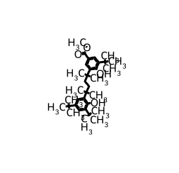 COC(=O)c1cc(C(C)(C)C)c(O)c(C(C)(C)CCC(C)(C)c2cc(C(C)(C)C)cc(C(C)(C)C)c2O)c1